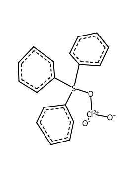 [O-][Cl+2]([O-])OS(c1ccccc1)(c1ccccc1)c1ccccc1